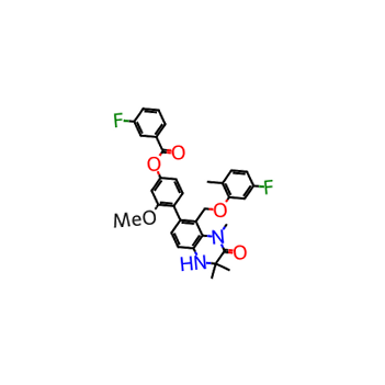 COc1cc(OC(=O)c2cccc(F)c2)ccc1-c1ccc2c(c1COc1cc(F)ccc1C)N(C)C(=O)C(C)(C)N2